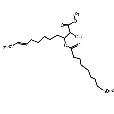 CCCCCCCCC=CCCCCCC(OC(=O)CCCCCCCCCCCCCCCCC)C(O)C(=O)OCCC